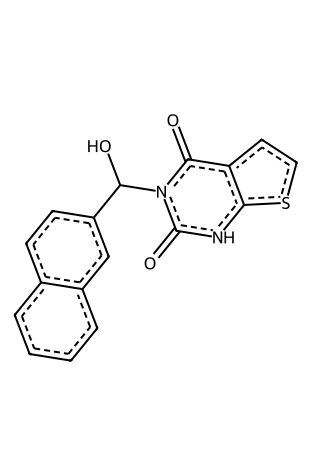 O=c1[nH]c2sccc2c(=O)n1C(O)c1ccc2ccccc2c1